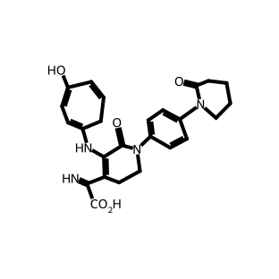 N=C(C(=O)O)C1=C(NC2=CC=C(O)C=CC2)C(=O)N(c2ccc(N3CCCCC3=O)cc2)CC1